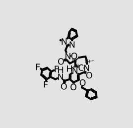 C[C@H]1CC[C@]2(CC(=O)N(Cc3nc4ccccc4n3C)O2)[C@H]2CN1C(=O)c1c(OCc3ccccc3)c(=O)c(C(=O)NCc3c(F)cc(F)cc3F)cn12